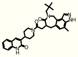 Cc1cc2c(c3cn[nH]c13)CN(CC(C)(C)C)C(=O)C(CC(=O)N1CCC(c3cc4ccccc4[nH]c3=O)CC1)C2